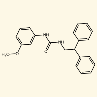 COc1cccc(NC(=O)NCC(c2ccccc2)c2ccccc2)c1